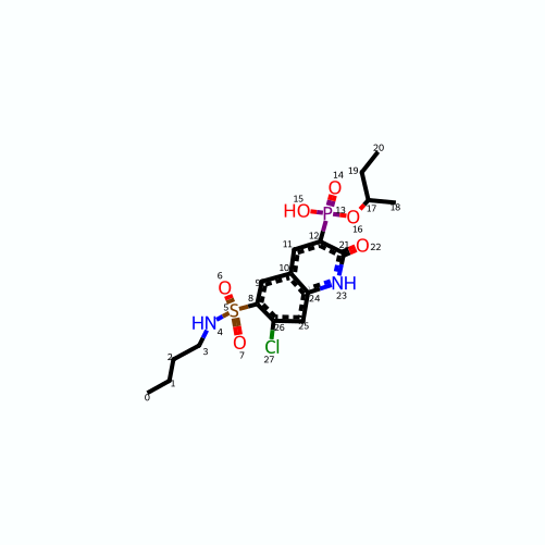 CCCCNS(=O)(=O)c1cc2cc(P(=O)(O)OC(C)CC)c(=O)[nH]c2cc1Cl